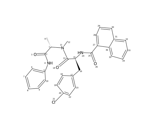 C[C@@H](C(=O)Nc1ccccc1)N(C)C(=O)[C@H](Cc1ccc(Cl)cc1)NC(=O)c1cccc2ccccc12